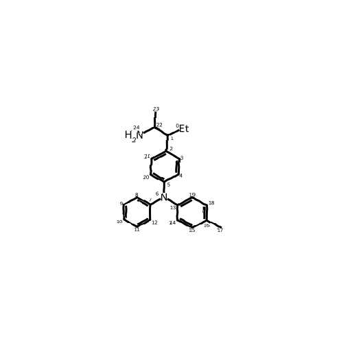 CCC(c1ccc(N(c2ccccc2)c2ccc(C)cc2)cc1)C(C)N